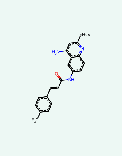 CCCCCCc1cc(N)c2cc(NC(=O)C=Cc3ccc(C(F)(F)F)cc3)ccc2n1